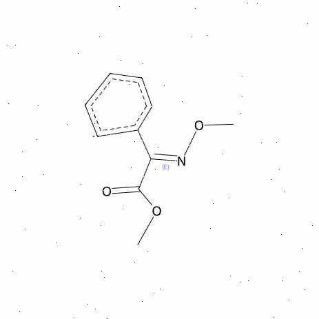 CO/N=C(/C(=O)OC)c1[c]cccc1